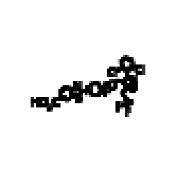 O=C(O)c1ccc2nc(N3CCC(F)(COCc4c(-c5c(Cl)cccc5Cl)noc4CC4CC4(F)F)CC3)sc2c1